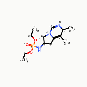 CCOP(=O)(NC1CC2=C(C)C(C)N=CN2C1)OCC